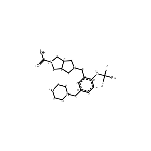 O=C(O)N1CC2CN(Cc3cc(CN4CCOCC4)ccc3OC(F)(F)F)CC2C1